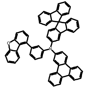 c1cc(-c2cccc3oc4ccccc4c23)cc(N(c2ccc3c(c2)-c2ccccc2C32c3ccccc3-c3ccccc32)c2ccc3c4ccccc4c4ccccc4c3c2)c1